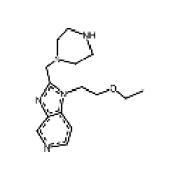 CCOCCn1c(CN2CCNCC2)nc2cnccc21